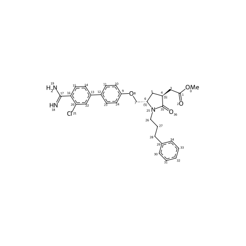 COC(=O)C[C@@H]1C[C@@H](COc2ccc(-c3ccc(C(=N)N)c(Cl)c3)cc2)N(CCCc2ccccc2)C1=O